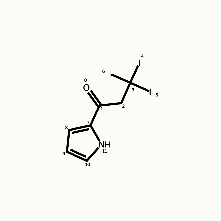 O=C(CC(I)(I)I)c1ccc[nH]1